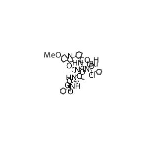 C=C[C@@H]1C[C@]1(NC(=O)[C@@H]1C[C@@H](Oc2cc(-c3ccccc3)nc3cc(OC)ccc23)CN1C(=O)C(NC(=O)O)[C@H](NC(=O)C(Cl)c1ccccc1)C(C)(C)C)C(=O)NS(=O)(=O)c1ccccc1